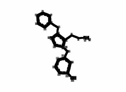 NCCc1c(Cc2ccccc2)ncn1Cc1cccc(O)c1